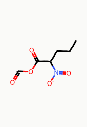 CCCC(C(=O)O[C]=O)[N+](=O)[O-]